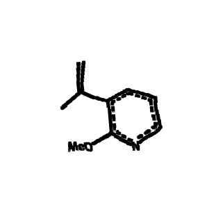 C=C(C)c1cccnc1OC